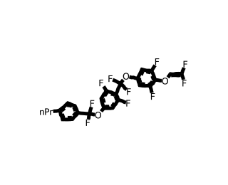 CCCc1ccc(C(F)(F)Oc2cc(F)c(C(F)(F)Oc3cc(F)c(OC=C(F)F)c(F)c3)c(F)c2)cc1